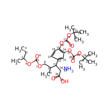 CCC(C)OC(=O)OCC(C)C(c1ccc(OC(=O)OC(C)(C)C)c(OC(=O)OC(C)(C)C)c1)[C@H](N)C(=O)O